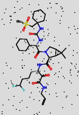 C=CCNC(=O)C(=O)[C@H](CCCC(F)F)NC(=O)[C@@H]1C2C(CN1C(=O)[C@@H](NC(=O)NC1(CS(=O)(=O)C(C)(C)C)CCCCC1)C1CCCCC1)C2(C)C